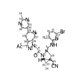 CC(=O)c1nn(CC(=O)N2[C@@H](CNc3nc(Br)ccc3C)C[C@]3(CC#N)[C@H](C)[C@H]23)c2cnc(-c3cnc(C)nc3)cc12